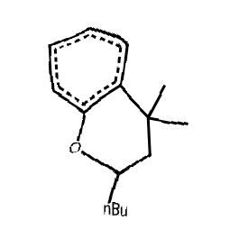 CCCCC1CC(C)(C)c2ccccc2O1